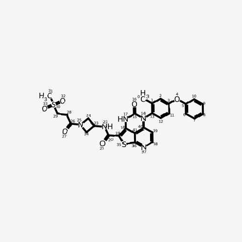 Cc1cc(Oc2ccccc2)ccc1N1C(=O)Nc2c(C(=O)NC3CN(C(=O)CCS(C)(=O)=O)C3)sc3nccc1c23